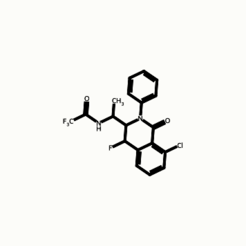 CC(NC(=O)C(F)(F)F)C1C(F)c2cccc(Cl)c2C(=O)N1c1ccccc1